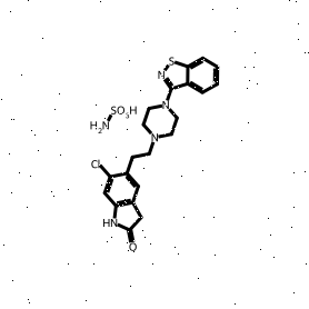 NS(=O)(=O)O.O=C1Cc2cc(CCN3CCN(c4nsc5ccccc45)CC3)c(Cl)cc2N1